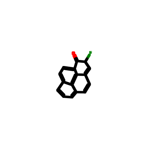 O=C1c2ccc3cccc4ccc(c2c34)=CC1F